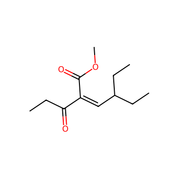 CCC(=O)C(=CC(CC)CC)C(=O)OC